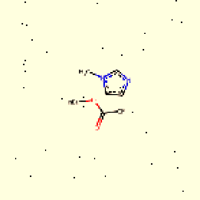 CCCCOC(=O)C(F)(F)F.Cn1ccnc1